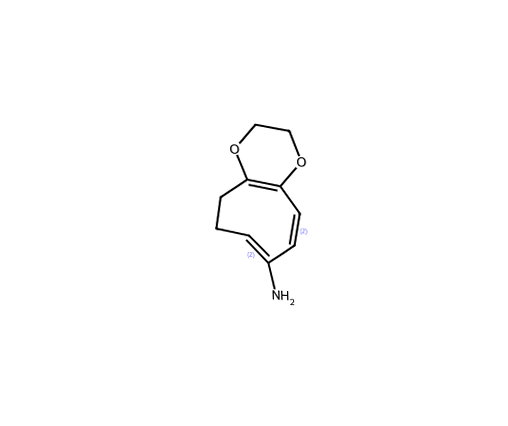 NC1=C\CCC2=C(/C=C\1)OCCO2